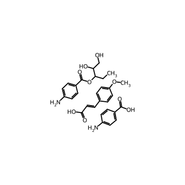 CCC(OC(=O)c1ccc(N)cc1)C(O)CO.COc1ccc(C=CC(=O)O)cc1.Nc1ccc(C(=O)O)cc1